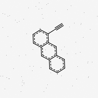 C#Cc1[c]ccc2cc3c[c]ccc3cc12